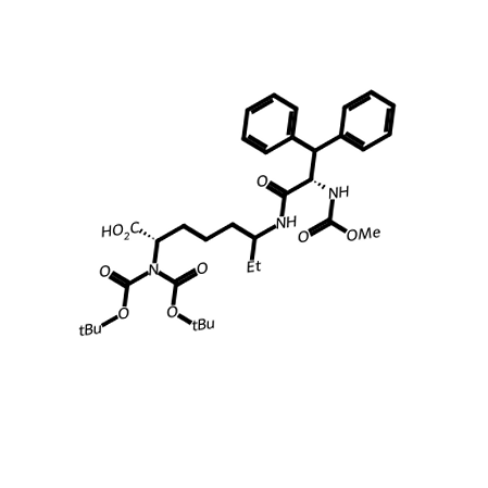 CCC(CCC[C@@H](C(=O)O)N(C(=O)OC(C)(C)C)C(=O)OC(C)(C)C)NC(=O)[C@@H](NC(=O)OC)C(c1ccccc1)c1ccccc1